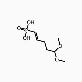 COC(CCC=CP(=O)(O)O)OC